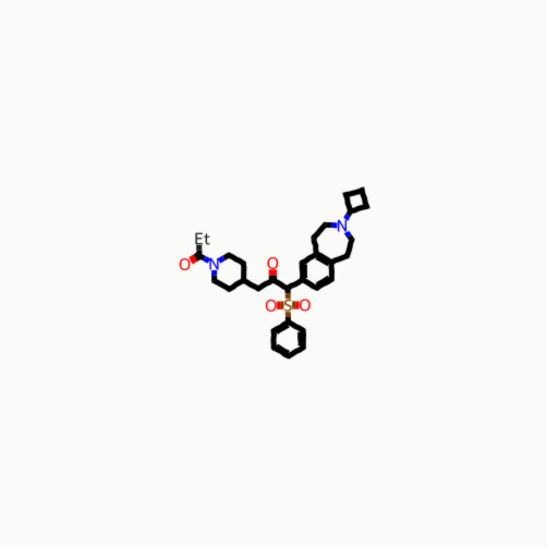 CCC(=O)N1CCC(CC(=O)C(c2ccc3c(c2)CCN(C2CCC2)CC3)S(=O)(=O)c2ccccc2)CC1